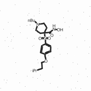 CCCCN1CCC(C(=O)NO)(S(=O)(=O)c2ccc(OCCC(C)C)cc2)CC1